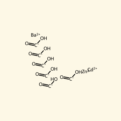 O=[C-]O.O=[C-]O.O=[C-]O.O=[C-]O.O=[C-]O.O=[C-]O.[Ba+2].[Cd+2].[Zn+2]